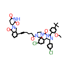 CCOc1cc(C(C)(C)C)ccc1C1=NC(c2ccc(Cl)cc2)C(c2ccc(Cl)cc2)N1C(=O)N1CCN(C(=O)CCCC#Cc2cccc3c2CN(C2CCC(=O)NC2=O)C3=O)CC1